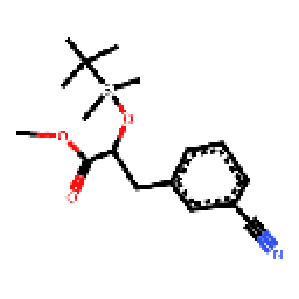 COC(=O)C(Cc1cccc(C#N)c1)O[Si](C)(C)C(C)(C)C